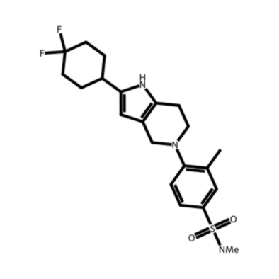 CNS(=O)(=O)c1ccc(N2CCc3[nH]c(C4CCC(F)(F)CC4)cc3C2)c(C)c1